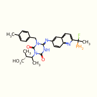 Cc1ccc(Cn2c(=O)n(C(C)[C@@H](C)C(=O)O)c(=O)[nH]/c2=N\c2ccc3nc(C(C)(F)P)ccc3c2)cc1